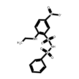 CCNc1ccc([N+](=O)[O-])cc1S(=O)(=O)NS(=O)(=O)c1ccccc1